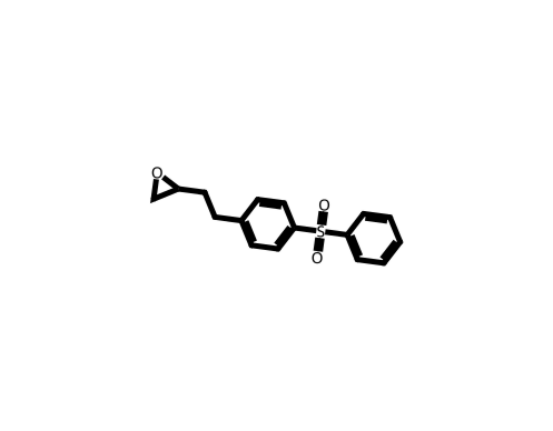 O=S(=O)(c1ccccc1)c1ccc(CCC2CO2)cc1